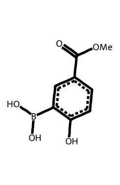 COC(=O)c1ccc(O)c(B(O)O)c1